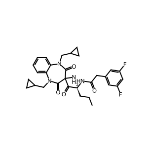 CCC[C@H](NC(=O)Cc1cc(F)cc(F)c1)C(=O)C1(N)C(=O)N(CC2CC2)c2ccccc2N(CC2CC2)C1=O